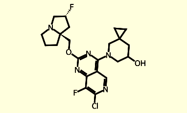 OC1CN(c2nc(OC[C@@]34CCCN3C[C@H](F)C4)nc3c(F)c(Cl)ncc23)CC2(CC2)C1